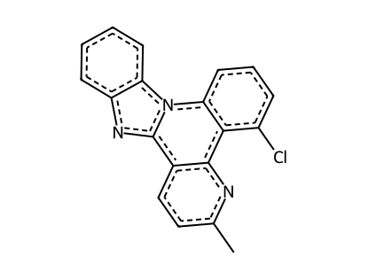 Cc1ccc2c(n1)c1c(Cl)cccc1n1c3ccccc3nc21